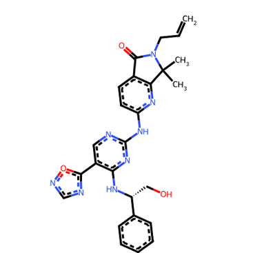 C=CCN1C(=O)c2ccc(Nc3ncc(-c4ncno4)c(N[C@H](CO)c4ccccc4)n3)nc2C1(C)C